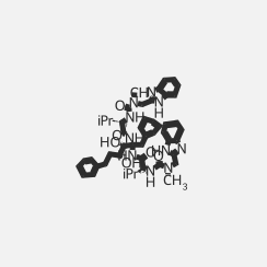 CC(C)[C@H](NC(=O)N(C)Cc1nc2ccccc2[nH]1)C(=O)NC(Cc1ccccc1)(NC(=O)[C@@H](NC(=O)N(C)Cc1nc2ccccc2[nH]1)C(C)C)[C@H](O)[C@@H](O)CCc1ccccc1